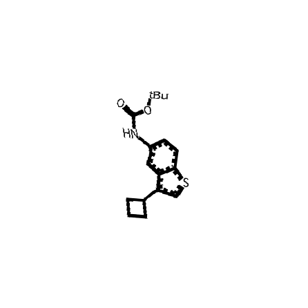 CC(C)(C)OC(=O)Nc1ccc2scc(C3CCC3)c2c1